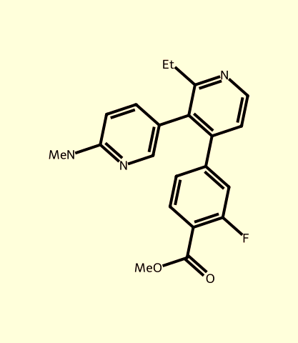 CCc1nccc(-c2ccc(C(=O)OC)c(F)c2)c1-c1ccc(NC)nc1